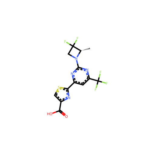 C[C@@H]1N(c2nc(-c3nc(C(=O)O)cs3)cc(C(F)(F)F)n2)CC1(F)F